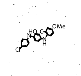 COc1ccc(Nc2ccc(N(C)c3ccc(Cl)cc3)cc2)c(C(=O)O)c1